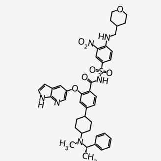 C[C@H](c1ccccc1)N(C)C1CCC(c2ccc(C(=O)NS(=O)(=O)c3ccc(NCC4CCOCC4)c([N+](=O)[O-])c3)c(Oc3cnc4[nH]ccc4c3)c2)CC1